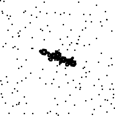 CCc1ccccc1C(=O)Nc1ccc(Nc2ncnc3cc(OCC4CCN(C)CC4)c(OC)cc23)c(F)c1